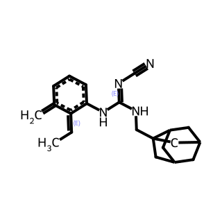 C=c1cccc(N/C(=N/C#N)NCC23CC4CC(CC2C4)C3)/c1=C/C